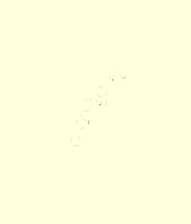 O=C(/C=C/c1ccc(-c2ccc(Cl)cc2)cn1)Nc1ccc(CN2CCOCC2)cc1